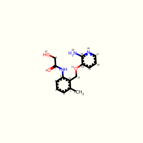 Cc1cccc(NC(=O)CO)c1COc1cccnc1N